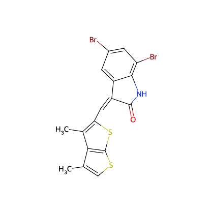 Cc1csc2sc(C=C3C(=O)Nc4c(Br)cc(Br)cc43)c(C)c12